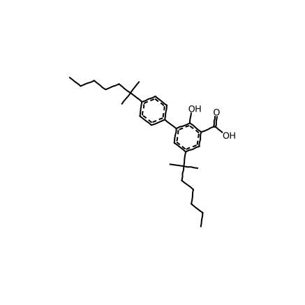 CCCCCC(C)(C)c1ccc(-c2cc(C(C)(C)CCCCC)cc(C(=O)O)c2O)cc1